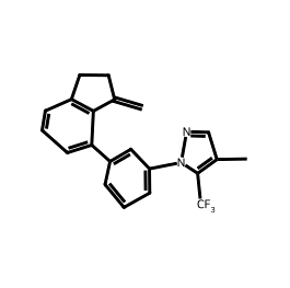 C=C1CCc2cccc(-c3cccc(-n4ncc(C)c4C(F)(F)F)c3)c21